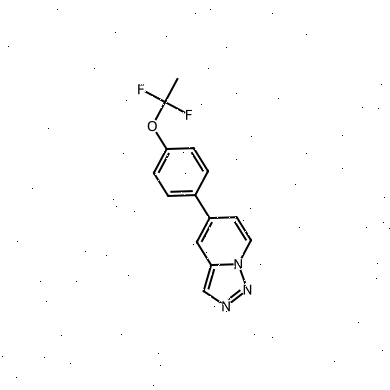 CC(F)(F)Oc1ccc(-c2ccn3nncc3c2)cc1